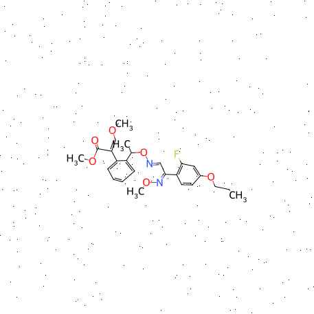 CCCOc1ccc(C(C=NOC(C)c2ccccc2C(=COC)C(=O)OC)=NOC)c(F)c1